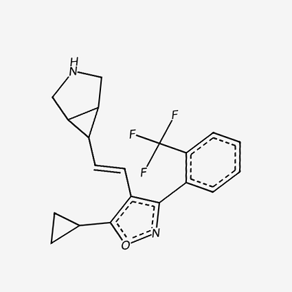 FC(F)(F)c1ccccc1-c1noc(C2CC2)c1C=CC1C2CNCC12